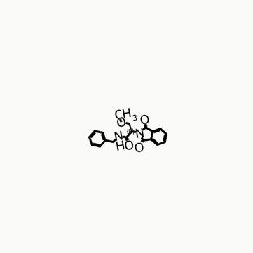 COC[C@H](C(=O)NCc1ccccc1)N1C(=O)c2ccccc2C1=O